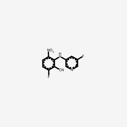 N#Cc1c(F)ccc([N+](=O)[O-])c1Nc1cncc(F)c1